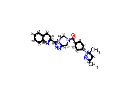 Cc1cc(C)n(-c2ccc(C(=O)N3CCn4c(nnc4-c4ccc5ccccc5n4)C3)cc2)n1